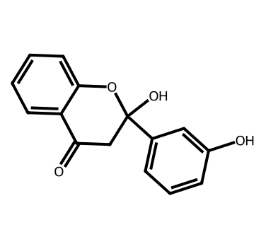 O=C1CC(O)(c2cccc(O)c2)Oc2ccccc21